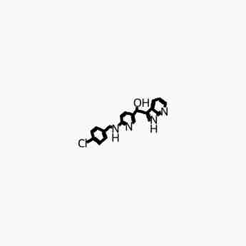 OC(c1ccc(NCc2ccc(Cl)cc2)nc1)c1c[nH]c2ncccc12